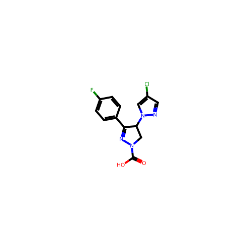 O=C(O)N1CC(n2cc(Cl)cn2)C(c2ccc(F)cc2)=N1